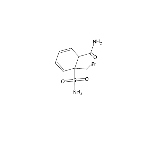 CC(C)CC1(S(N)(=O)=O)C=CC=CC1C(N)=O